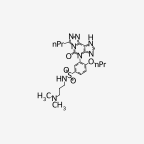 CCCOc1ccc(S(=O)(=O)NCCCN(C)C)cc1-n1c(=O)n2c(CCC)nnc2c2[nH]cnc21